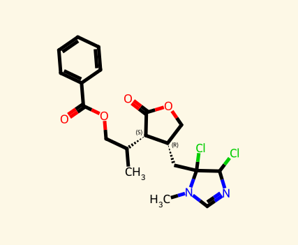 CC(COC(=O)c1ccccc1)[C@@H]1C(=O)OC[C@@H]1CC1(Cl)C(Cl)N=CN1C